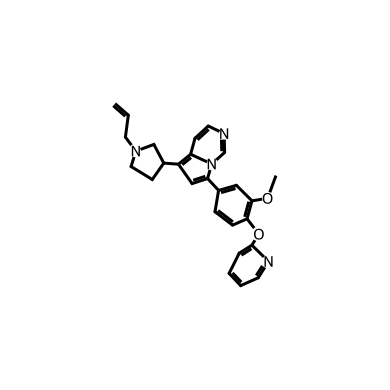 C=CCN1CCC(c2cc(-c3ccc(Oc4ccccn4)c(OC)c3)n3cnccc23)C1